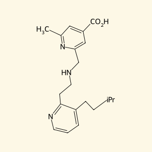 Cc1cc(C(=O)O)cc(CNCCc2ncccc2CCC(C)C)n1